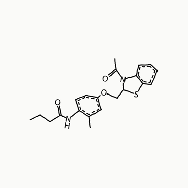 CCCC(=O)Nc1ccc(OCC2Sc3ccccc3N2C(C)=O)cc1C